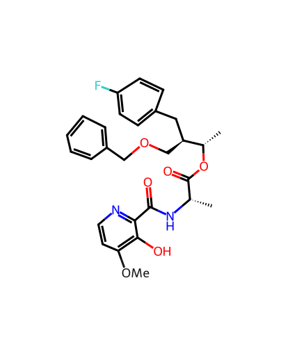 COc1ccnc(C(=O)N[C@@H](C)C(=O)O[C@@H](C)[C@@H](COCc2ccccc2)Cc2ccc(F)cc2)c1O